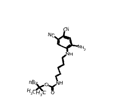 CCCCC(C)(C)OC(=O)NCCCCCNc1cc(C#N)c(C#N)cc1N